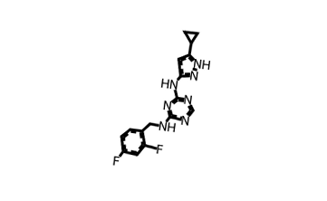 Fc1ccc(CNc2ncnc(Nc3cc(C4CC4)[nH]n3)n2)c(F)c1